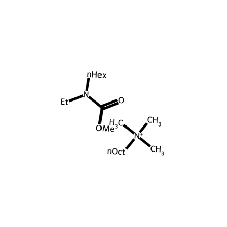 CCCCCCCC[N+](C)(C)C.CCCCCCN(CC)C(=O)OC